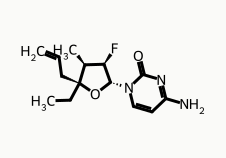 C=CC[C@]1(CC)O[C@@H](n2ccc(N)nc2=O)[C@H](F)[C@@H]1C